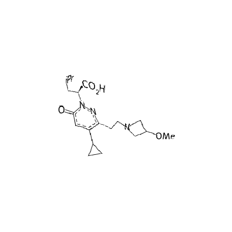 COC1CN(CCc2nn([C@@H](CC(C)C)C(=O)O)c(=O)cc2C2CC2)C1